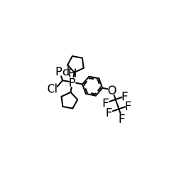 FC(F)(F)C(F)(F)Oc1ccc([PH]([CH](Cl)[Pd])(C2CCCC2)C2CCCC2)cc1